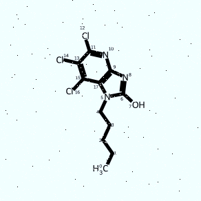 CCCCCn1c(O)nc2nc(Cl)c(Cl)c(Cl)c21